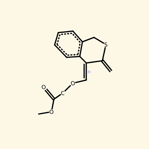 C=C1SCc2ccccc2/C1=C\OCC(=O)OC